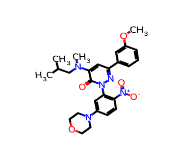 COc1cccc(-c2cc(N(C)CC(C)C)c(=O)n(-c3cc(N4CCOCC4)ccc3[N+](=O)[O-])n2)c1